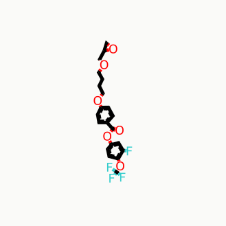 O=C(Oc1ccc(OC(F)(F)F)c(F)c1)c1ccc(OCCCCOCC2CO2)cc1